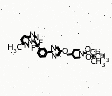 Cc1ccc2nnc(C(F)(F)c3cccc(-c4ncc(OCC5CCN(C(=O)OC(C)(C)C)CC5)cn4)c3)n2n1